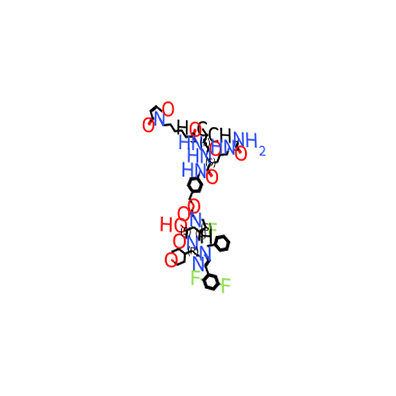 CC(C)[C@H](NC(=O)CCCCCN1C(=O)C=CC1=O)C(=O)N[C@@H](CCCNC(N)=O)C(=O)Nc1ccc(COC(=O)N2C[C@@H](F)[C@H]3CN([C@@H](c4nc(-c5cc(F)ccc5F)cn4Cc4ccccc4)C4CCOCC4)C(=O)[C@@H](O)C32)cc1